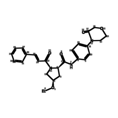 CCO[C@@H]1C[C@H](C(=O)Nc2ccc(N3CCOCC3=O)cc2)N(C(=O)/C=C/c2cccnc2)C1